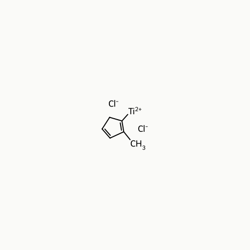 CC1=[C]([Ti+2])CC=C1.[Cl-].[Cl-]